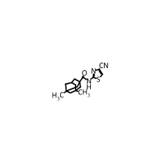 CC12CC3CC(C)(C1)CC(C(=O)Nc1nc(C#N)cs1)(C3)C2